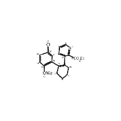 CCOC(=O)c1ncccc1C1=C(c2cc(Cl)ccc2OC)CCCC1